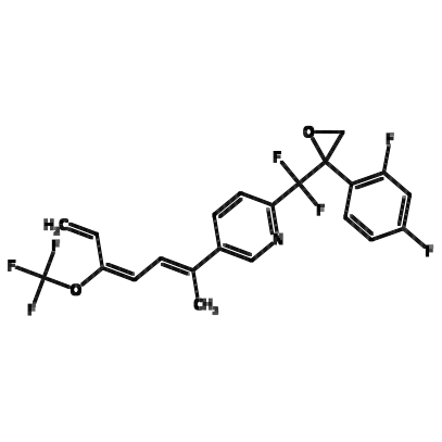 C=C/C(=C\C=C(/C)c1ccc(C(F)(F)C2(c3ccc(F)cc3F)CO2)nc1)OC(F)(F)F